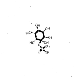 O=P(O)(O)O[C@]1(O)[C@H](O)[C@H](O)[C@@H](O)[C@H](O)[C@@H]1S